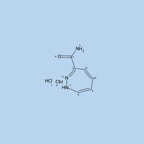 Cl.Cl.NC(=O)C1=NNC=CC=C1